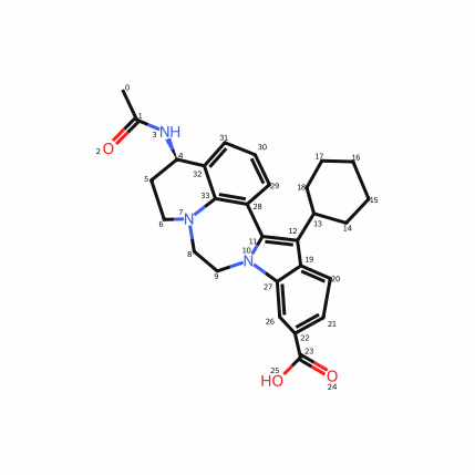 CC(=O)N[C@@H]1CCN2CCn3c(c(C4CCCCC4)c4ccc(C(=O)O)cc43)-c3cccc1c32